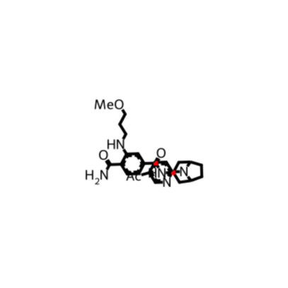 COCCCNc1cc(C(=O)NC2CC3CCC(C2)N3c2ccc(C(C)=O)cn2)ccc1C(N)=O